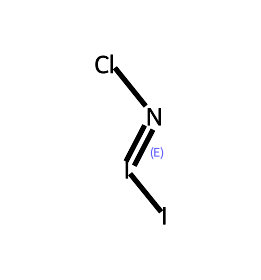 Cl/N=I/I